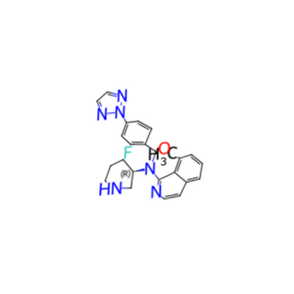 Cc1cccc2ccnc(N(C(=O)c3ccc(-n4nccn4)cc3F)[C@@H]3CCCNC3)c12